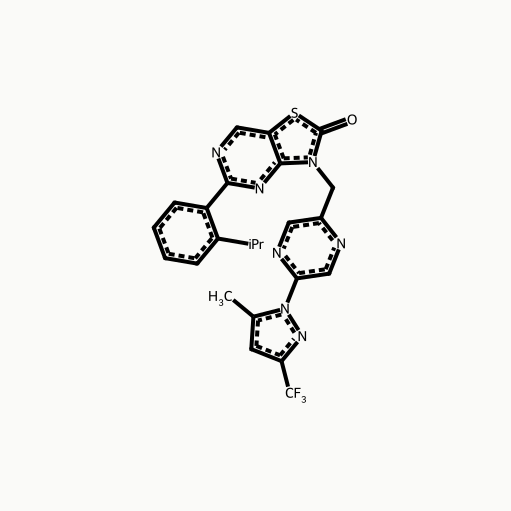 Cc1cc(C(F)(F)F)nn1-c1cnc(Cn2c(=O)sc3cnc(-c4ccccc4C(C)C)nc32)cn1